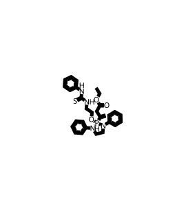 C=C(CC(=O)OCC)[PH]1(OCCNC(=S)Nc2ccccc2)N(c2ccccc2)CCN1c1ccccc1